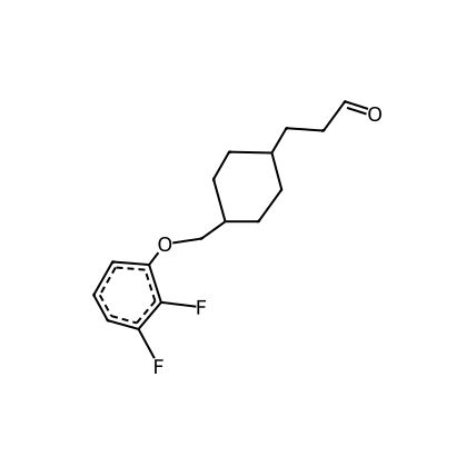 O=CCCC1CCC(COc2cccc(F)c2F)CC1